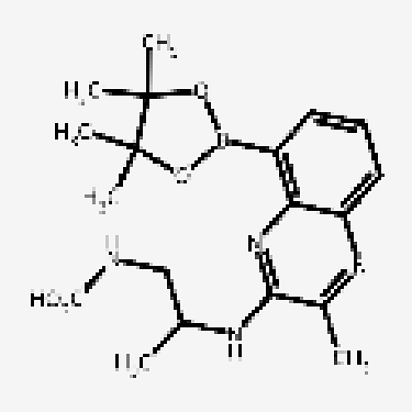 Cc1nc2cccc(B3OC(C)(C)C(C)(C)O3)c2nc1NC(C)CNC(=O)O